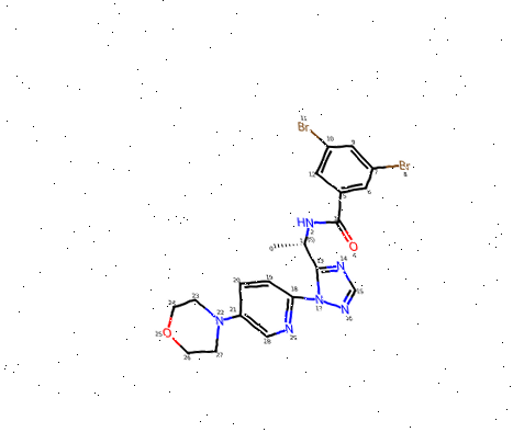 C[C@H](NC(=O)c1cc(Br)cc(Br)c1)c1ncnn1-c1ccc(N2CCOCC2)cn1